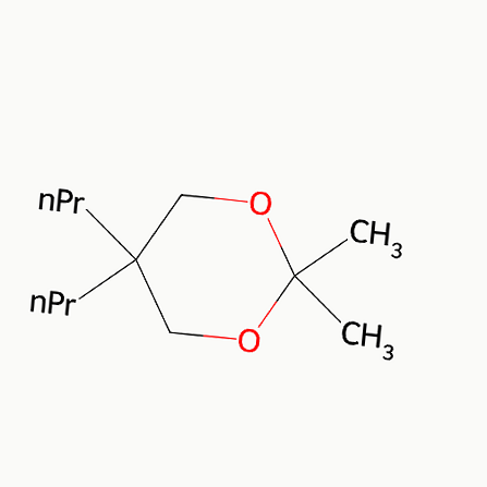 CCCC1(CCC)COC(C)(C)OC1